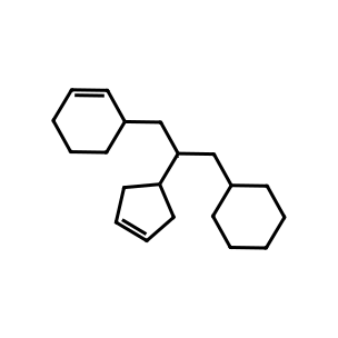 C1=CC(C[C](CC2CCCCC2)C2CC=CC2)CCC1